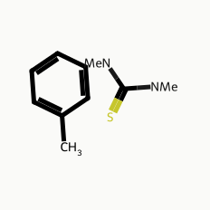 CNC(=S)NC.Cc1ccccc1